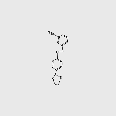 N#Cc1cccc(COc2ccc(C3SCCS3)cc2)c1